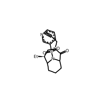 C#CCN1C[C@H](CC)C2CCCC(C1=O)N2S(=O)(=O)c1cccnc1